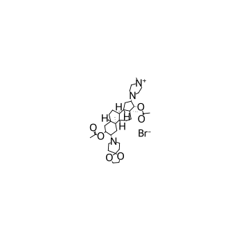 CC(=O)O[C@H]1C[C@@H]2CC[C@@H]3[C@H](CC[C@@]4(C)[C@H]3C[C@H](N3CC[N+](C)(C)CC3)[C@@H]4OC(C)=O)[C@@]2(C)C[C@@H]1N1CCC2(CC1)OCCO2.[Br-]